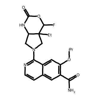 CCC12CN(c3nccc4cc(C(N)=O)c(OC(C)C)cc34)CC1NC(=O)OC2F